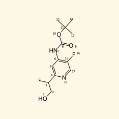 CC(CO)c1cc(NC(=O)OC(C)(C)C)c(F)cn1